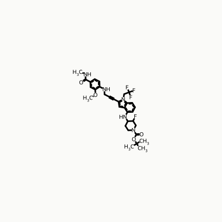 CNC(=O)c1ccc(NCC#Cc2cc3c(NC4CCN(C(=O)OC(C)(C)C)CC4F)cccc3n2CC(F)(F)F)c(OC)c1